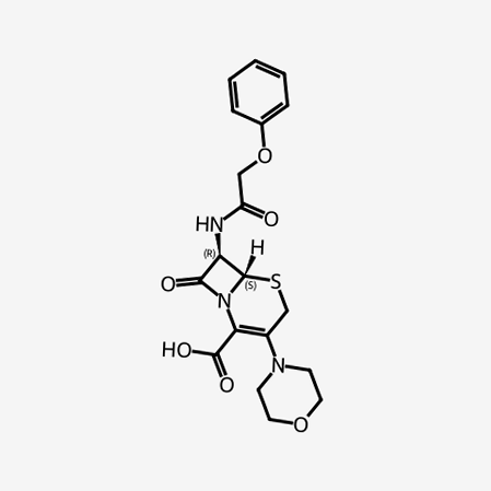 O=C(COc1ccccc1)N[C@@H]1C(=O)N2C(C(=O)O)=C(N3CCOCC3)CS[C@@H]12